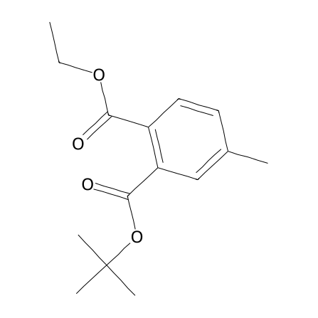 CCOC(=O)c1ccc(C)cc1C(=O)OC(C)(C)C